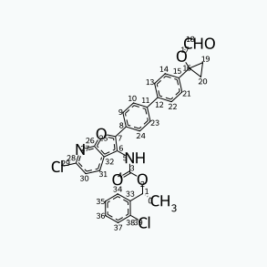 C[C@@H](OC(=O)Nc1c(-c2ccc(-c3ccc(C4(OC=O)CC4)cc3)cc2)oc2nc(Cl)ccc12)c1ccccc1Cl